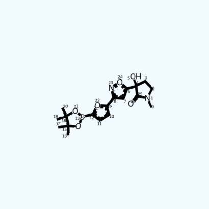 CN1CCC(O)(c2cc(-c3ccc(B4OC(C)(C)C(C)(C)O4)o3)no2)C1=O